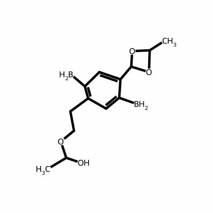 Bc1cc(C2OC(C)O2)c(B)cc1CCOC(C)O